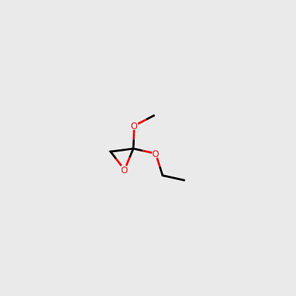 CCOC1(OC)CO1